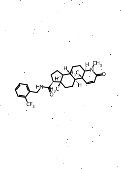 CN1C(=O)C=C[C@]2(C)[C@H]3CC[C@]4(C)[C@@H](C(=O)NCc5ccccc5C(F)(F)F)CC[C@H]4[C@@H]3CC[C@@H]12